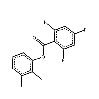 Cc1cccc(OC(=O)c2c(F)cc(F)cc2F)c1C